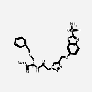 COC(=O)[C@H](CSCc1ccccc1)NC(=O)Cn1cc(COc2ccc3nc(S(N)(=O)=O)sc3c2)nn1